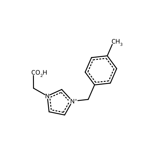 Cc1ccc(C[n+]2ccn(CC(=O)O)c2)cc1